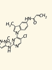 C=CC(=O)Nc1ccc2c(c1)c(C)cn2-c1nc(Nc2ccnn2C)ncc1Cl